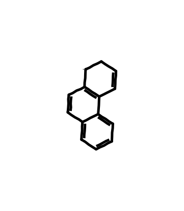 [CH]1CC=Cc2c1ccc1ccccc21